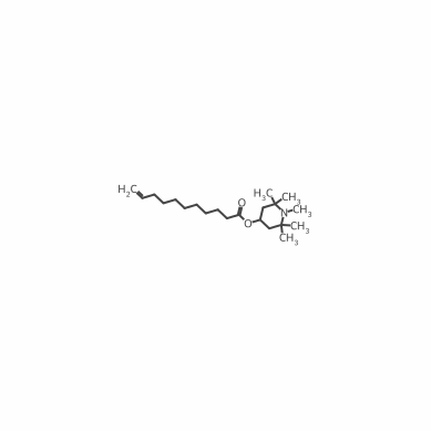 C=CCCCCCCCCC(=O)OC1CC(C)(C)N(C)C(C)(C)C1